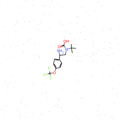 CC(C)(C)N(CC(N)c1ccc(OC(F)(F)F)cc1)C(=O)O